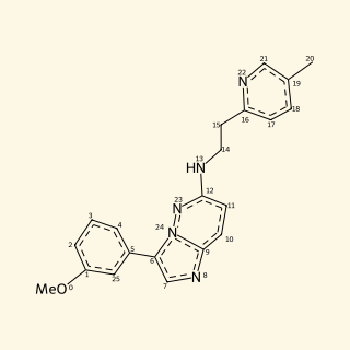 COc1cccc(-c2cnc3ccc(NCCc4ccc(C)cn4)nn23)c1